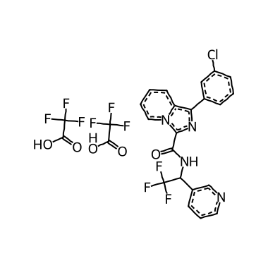 O=C(NC(c1cccnc1)C(F)(F)F)c1nc(-c2cccc(Cl)c2)c2ccccn12.O=C(O)C(F)(F)F.O=C(O)C(F)(F)F